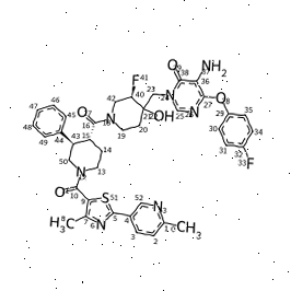 Cc1ccc(-c2nc(C)c(C(=O)N3CC[C@@H](C(=O)N4CCC(O)(Cn5cnc(Oc6ccc(F)cc6)c(N)c5=O)[C@H](F)C4)[C@H](c4ccccc4)C3)s2)cn1